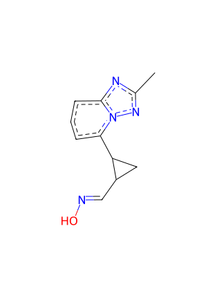 Cc1nc2cccc(C3CC3C=NO)n2n1